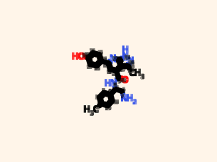 Cc1ccc(C(CN)NC(=O)c2cc(-c3ccc(O)cc3)nc3[nH]nc(C)c23)cc1